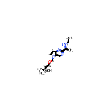 CCNC(C)c1ncc2c(ccn2COCC[Si](C)(C)C)n1